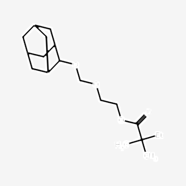 CCC(C)(C)C(=O)OCCOCOC1C2CC3CC(C2)CC1C3